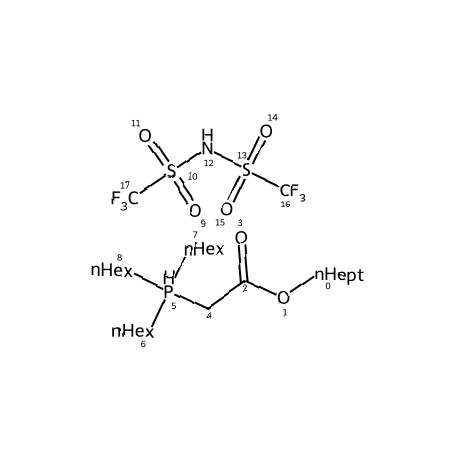 CCCCCCCOC(=O)C[PH](CCCCCC)(CCCCCC)CCCCCC.O=S(=O)(NS(=O)(=O)C(F)(F)F)C(F)(F)F